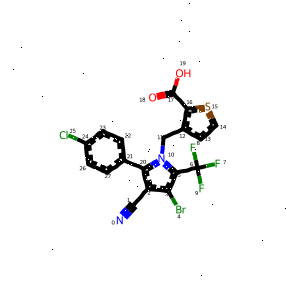 N#Cc1c(Br)c(C(F)(F)F)n(Cc2ccsc2C(=O)O)c1-c1ccc(Cl)cc1